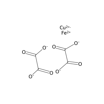 O=C([O-])C(=O)[O-].O=C([O-])C(=O)[O-].[Cu+2].[Fe+2]